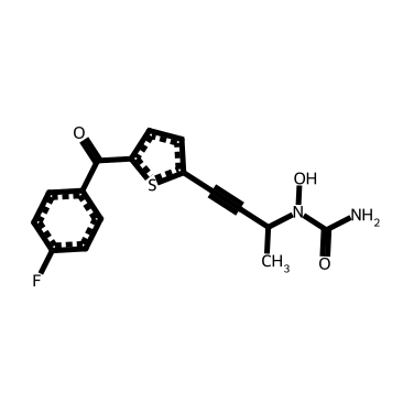 CC(C#Cc1ccc(C(=O)c2ccc(F)cc2)s1)N(O)C(N)=O